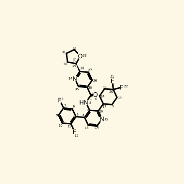 O=C(Nc1c(-c2cc(F)ccc2F)ccnc1C1CCC(F)(F)CC1)c1ccc([C@H]2CCCO2)nc1